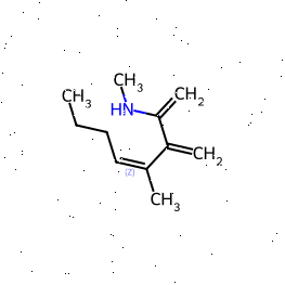 C=C(NC)C(=C)/C(C)=C\CCC